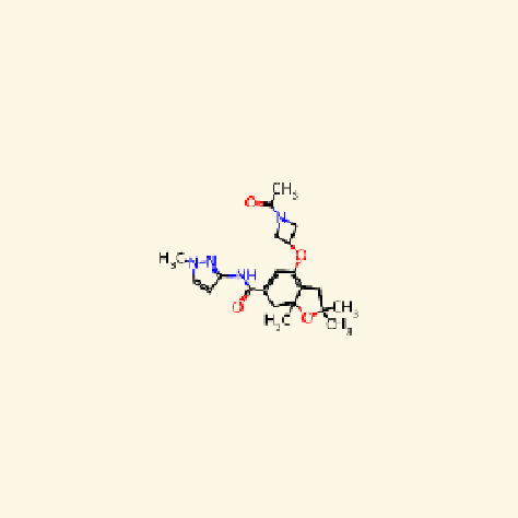 CC(=O)N1CC(OC2=C3CC(C)(C)OC3(C)CC(C(=O)Nc3ccn(C)n3)=C2)C1